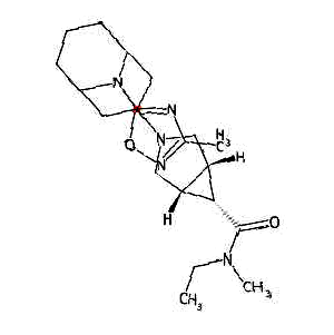 CCN(C)C(=O)[C@@H]1[C@@H]2CN(C3CC4CCCC(C3)N4c3nc(C)no3)C[C@@H]21